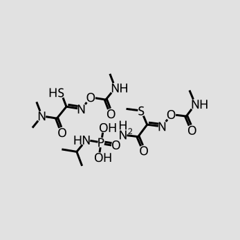 CC(C)NP(=O)(O)O.CNC(=O)ON=C(S)C(=O)N(C)C.CNC(=O)ON=C(SC)C(N)=O